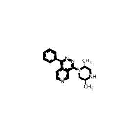 C[C@@H]1CN[C@@H](C)CN1c1nnc(-c2ccccc2)c2ccncc12